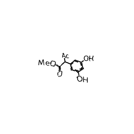 COC(=O)C(C(C)=O)c1cc(O)cc(O)c1